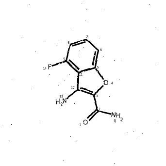 NC(=O)c1oc2cccc(F)c2c1N